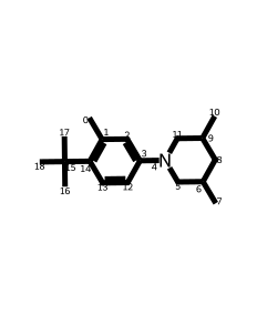 Cc1cc(N2CC(C)CC(C)C2)ccc1C(C)(C)C